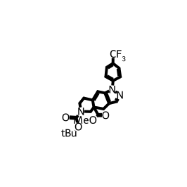 COC(=O)C12Cc3cnn(-c4ccc(C(F)(F)F)cc4)c3C=C1CCN(C(=O)OC(C)(C)C)C2